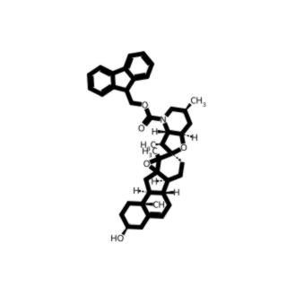 C[C@H]1C[C@H]2O[C@]3(CC[C@H]4[C@@H]5CC=C6C[C@@H](O)CC[C@]6(C)[C@H]5CC45OC53C)[C@H](C)[C@@H]2N(C(=O)OCC2c3ccccc3-c3ccccc32)C1